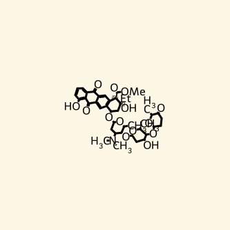 CC[C@@]1(O)CC(OC2CC(N(C)C)C(OC3CC(O)C(OC4CCC(=O)C(C)O4)C(C)O3)C(C)O2)c2cc3c(cc2[C@H]1C(=O)OC)C(=O)c1cccc(O)c1C3=O